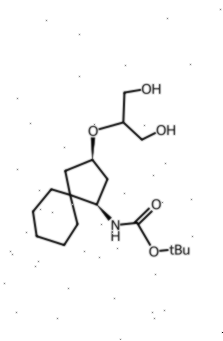 CC(C)(C)OC(=O)N[C@@H]1C[C@H](OC(CO)CO)CC12CCCCC2